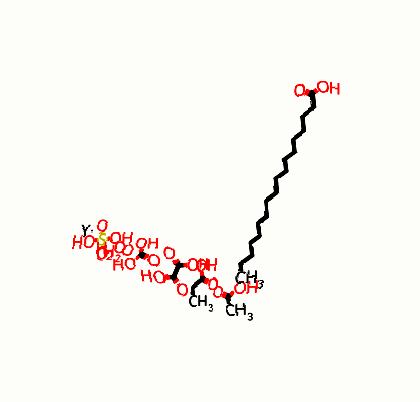 CC(=O)O.CCC(=O)O.CCCCCCCCCCCCCCCCCC(=O)O.O.O.O=C(O)C(=O)O.O=C(O)O.O=S(=O)(O)O.[Y]